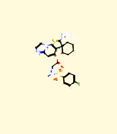 CN(CC(=O)OC1CCCCC1(C(N)=S)c1ccc2nccn2c1)S(=O)(=O)c1ccc(Cl)cc1